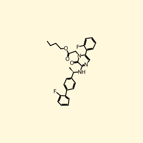 CCCCOC(=O)Cn1c(-c2ccccc2F)cnc(N[C@H](C)c2ccc(-c3ccccc3F)cc2)c1=O